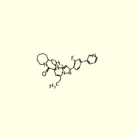 CCc1cc(C(=O)N2CCCCCC2C)nc2cc(-c3ccc(-c4cccnc4)cc3F)nn12